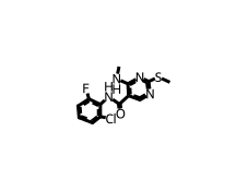 CNc1nc(SC)ncc1C(=O)Nc1c(F)cccc1Cl